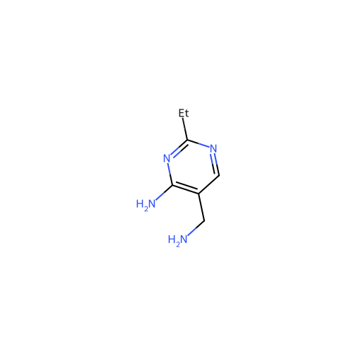 CCc1ncc(CN)c(N)n1